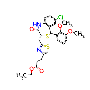 CCOC(=O)CCc1csc(C[C@H]2S[C@H](c3cccc(OC)c3OC)c3cc(Cl)ccc3NC2=O)n1